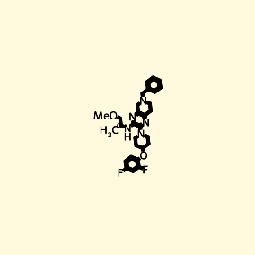 COC[C@@H](C)Nc1nc2c(nc1N1CCC(Oc3ccc(F)cc3F)CC1)CCN(Cc1ccccc1)C2